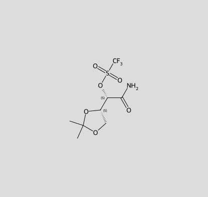 CC1(C)OC[C@@H]([C@H](OS(=O)(=O)C(F)(F)F)C(N)=O)O1